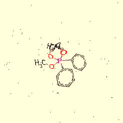 COP(OC)(OC)(c1ccccc1)c1ccccc1